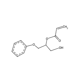 C=CC(=O)OC(CO)COc1ccccc1